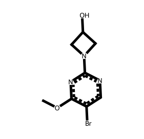 COc1nc(N2CC(O)C2)ncc1Br